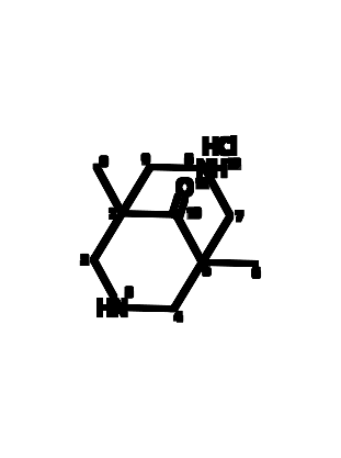 CC12CNCC(C)(CNC1)C2=O.Cl